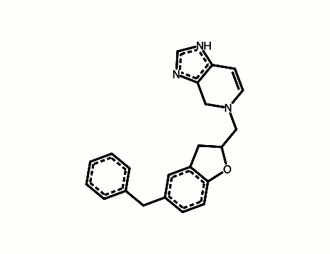 C1=CN(CC2Cc3cc(Cc4ccccc4)ccc3O2)Cc2nc[nH]c21